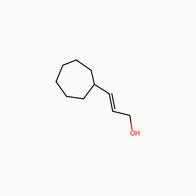 OC/C=C/C1CCCCCC1